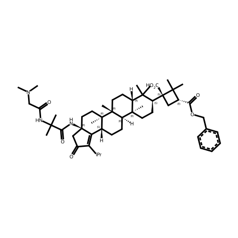 CC(C)C1=C2[C@H]3CC[C@@H]4[C@]5(C)CC[C@H]([C@@]6(C(=O)O)C[C@@H](C(=O)OCc7ccccc7)C6(C)C)C(C)(C)[C@H]5CC[C@@]4(C)[C@]3(C)CC[C@@]2(NC(=O)C(C)(C)NC(=O)CN(C)C)CC1=O